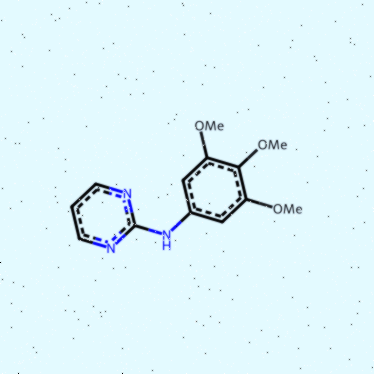 COc1cc(Nc2ncccn2)cc(OC)c1OC